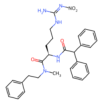 CN(CCc1ccccc1)C(=O)[C@@H](CCCN/C(N)=N\[N+](=O)[O-])NC(=O)C(c1ccccc1)c1ccccc1